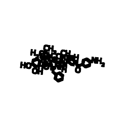 CC(C)CN(C[C@@H](O)[C@H](Cc1ccccc1)NC(=O)[C@@H](NC(=O)CNC(=O)c1ccc(N)cc1)C(C)(C)C)S(=O)(=O)c1ccc(O)c(O)c1